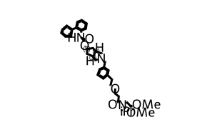 COC(CN(C(=O)CCOCCc1cccc(CN2C[C@H]3C[C@H](OC(=O)Nc4ccccc4-c4ccccc4)C[C@H]3C2)c1)C(C)C)OC